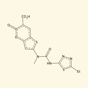 CCc1nnc(NC(=O)N(C)c2cc3oc(=O)c(C(=O)O)cc3s2)s1